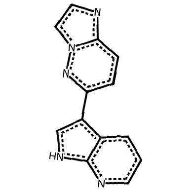 c1cnc2[nH]cc(-c3ccc4nccn4n3)c2c1